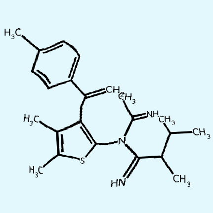 C=C(c1ccc(C)cc1)c1c(N(C(C)=N)C(=N)C(C)C(C)C)sc(C)c1C